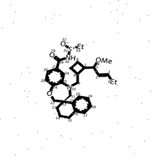 CC/C=C/C(OC)C1CCC1CN1C[C@@]2(CCCc3ccccc32)COc2ccc(C(=O)N[S+]([O-])CC)cc21